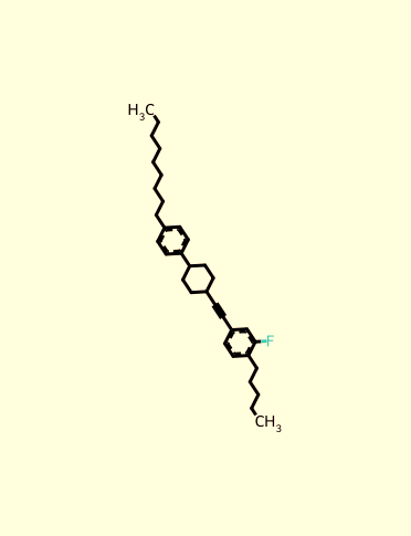 CCCCCCCCCc1ccc(C2CCC(C#Cc3ccc(CCCCC)c(F)c3)CC2)cc1